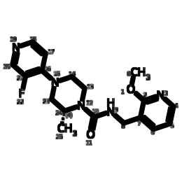 COc1ncccc1CNC(=O)N1CCN(c2ccncc2F)C[C@H]1C